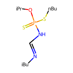 CCCCSP(=S)(NC=NC(C)CC)OC(C)C